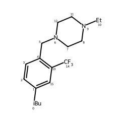 CCC(C)c1ccc(CN2CCN(CC)CC2)c(C(F)(F)F)c1